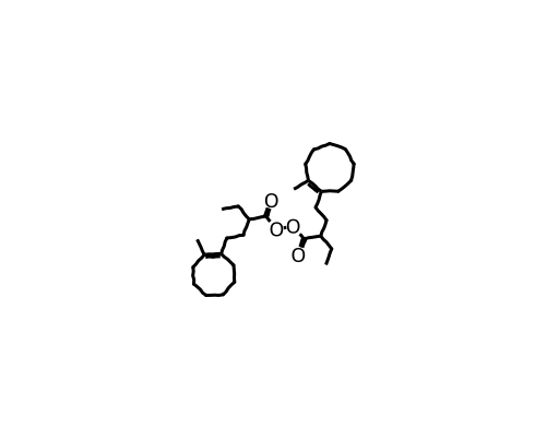 CCC(CC/C1=C(\C)CCCCCCC1)C(=O)OOC(=O)C(CC)CC/C1=C(\C)CCCCCC1